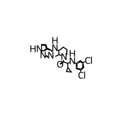 CC1C(Nc2ncnc3[nH]ccc23)CCCN1C(=O)C(Nc1cc(Cl)cc(Cl)c1)C1CC1